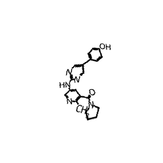 Cc1ncc(Nc2ncc(-c3ccc(O)cc3)cn2)cc1C(=O)N1CCCC1